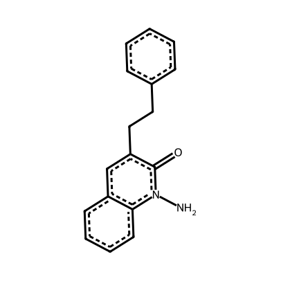 Nn1c(=O)c(CCc2ccccc2)cc2ccccc21